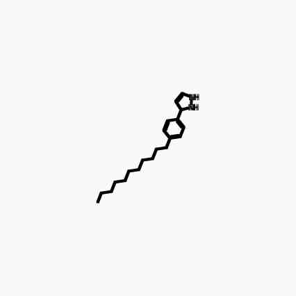 CCCCCCCCCCCc1ccc(C2C=CNN2)cc1